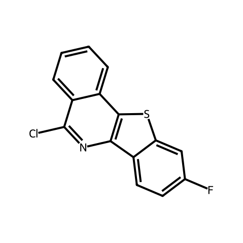 Fc1ccc2c(c1)sc1c3ccccc3c(Cl)nc21